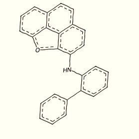 c1ccc(-c2ccccc2Nc2ccc3ccc4cccc5oc2c3c45)cc1